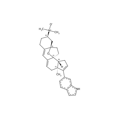 C[C@]12CC=C3C=C4CC[C@@H]([N+](C)(C)[O-])C[C@]45CC[C@]3(O5)[C@@H]1CC=C2c1ccc2cc[nH]c2c1